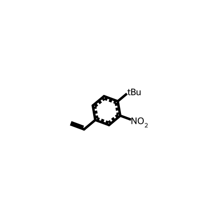 C=Cc1ccc(C(C)(C)C)c([N+](=O)[O-])c1